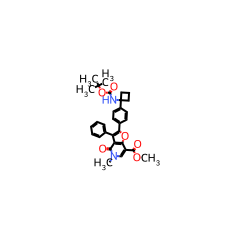 COC(=O)c1cn(C)c(=O)c2c(-c3ccccc3)c(-c3ccc(C4(NC(=O)OC(C)(C)C)CCC4)cc3)oc12